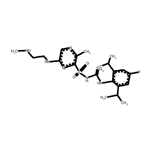 CNCCNc1cnc(C)c(S(=O)(=O)NC(=O)Nc2c(C(C)C)cc(F)cc2C(C)C)n1